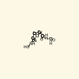 COc1cc(-c2nccc(-c3cccc(-c4ccc5c(CNCCO)cn(C)c5n4)c3Cl)c2Cl)ccc1CNC[C@H]1CCC(=O)N1